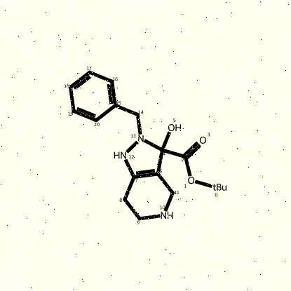 CC(C)(C)OC(=O)C1(O)C2=C(CCNC2)NN1Cc1ccccc1